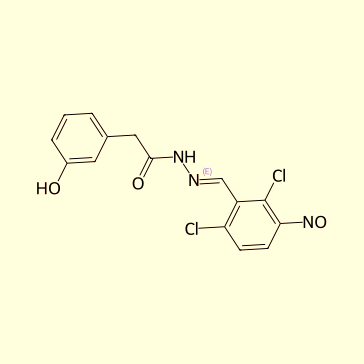 O=Nc1ccc(Cl)c(/C=N/NC(=O)Cc2cccc(O)c2)c1Cl